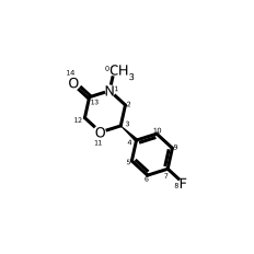 CN1C[C@@H](c2ccc(F)cc2)OCC1=O